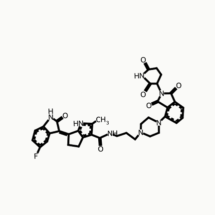 Cc1[nH]c2c(c1C(=O)NCCCN1CCN(c3cccc4c3C(=O)N(C3CCC(=O)NC3=O)C4=O)CC1)CC/C2=C1/C(=O)Nc2ccc(F)cc21